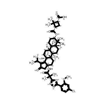 COc1cc(Cl)ccc1-c1nnc(C(C)(C)C(=O)N[C@@]23CC[C@]4(C)[C@H](CC[C@@H]5[C@@]6(C)CC[C@H](OC(=O)[C@H]7C[C@@H](C(=O)O)C7(C)C)C(C)(C)[C@@H]6CC[C@]54C)C2=C(C(C)C)C(=O)C3)o1